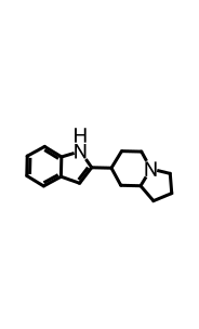 c1ccc2[nH]c(C3CCN4CCCC4C3)cc2c1